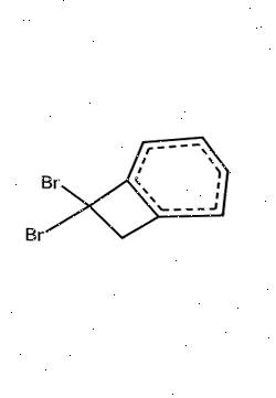 BrC1(Br)Cc2ccccc21